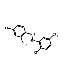 FC(F)(F)c1ccc(Cl)c(NNc2ccc(Cl)cc2C(F)(F)F)c1